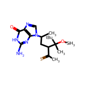 CC(=S)C(CC(C)n1cnc2c(=O)[nH]c(N)nc21)C(C)(O[SiH3])C(C)(C)C